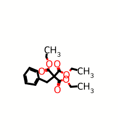 CCOC(=O)C(Cc1ccccc1)(C(=O)OCC)C(=O)OCC